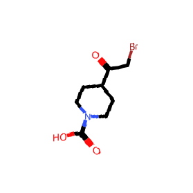 O=C(CBr)C1CCN(C(=O)O)CC1